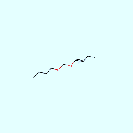 CC/C=C/OCOCCCC